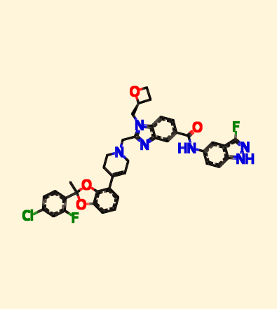 CC1(c2ccc(Cl)cc2F)Oc2cccc(C3=CCN(Cc4nc5cc(C(=O)Nc6ccc7[nH]nc(F)c7c6)ccc5n4C[C@@H]4CCO4)CC3)c2O1